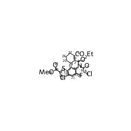 CCOC(=O)C1=C(C(=O)N(C(=O)CCl)c2cc(SC(C)C(=O)OC)c(Cl)cc2F)CCCC1